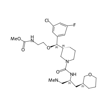 CNC[C@H](C[C@@H]1CCCOC1)NC(=O)N1CCC[C@@H]([C@@H](OCCNC(=O)OC)c2cc(F)cc(Cl)c2)C1